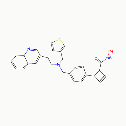 O=C(NO)C1C#CC1c1ccc(CN(CCc2cnc3ccccc3c2)Cc2ccsc2)cc1